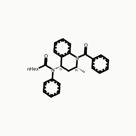 CCCCCCC(=O)N(c1ccccc1)[C@H]1C[C@@H](C)N(C(=O)c2ccccc2)c2ccccc21